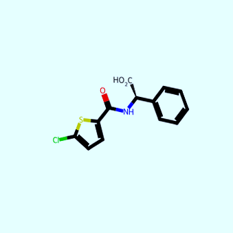 O=C(N[C@@H](C(=O)O)c1ccccc1)c1ccc(Cl)s1